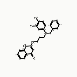 O=c1cc(NCCCN(Cc2ccccc2)c2ccc(Cl)c(Cl)c2)[nH]c2ccccc12